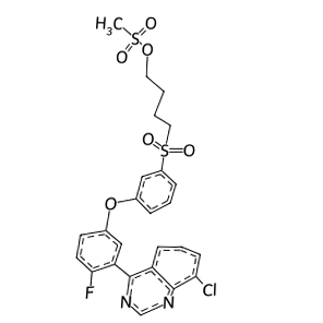 CS(=O)(=O)OCCCCS(=O)(=O)c1cccc(Oc2ccc(F)c(-c3ncnc4c(Cl)cccc34)c2)c1